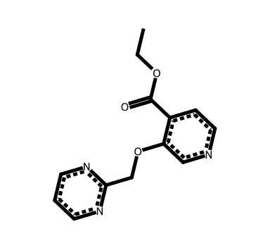 CCOC(=O)c1ccncc1OCc1ncccn1